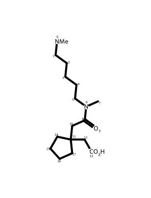 CNCCCCCN(C)C(=O)CC1(CC(=O)O)CCCC1